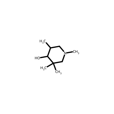 CC1CN(C)CC(C)(C)C1O